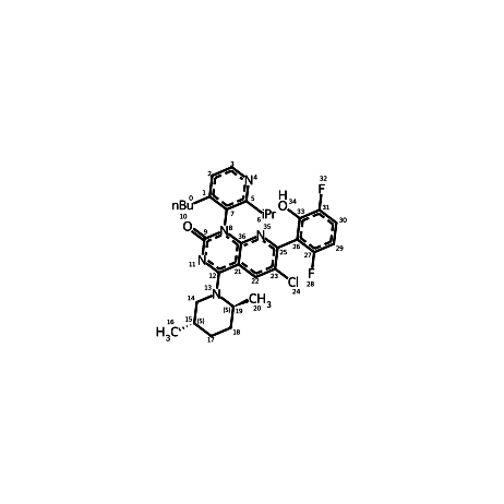 CCCCc1ccnc(C(C)C)c1-n1c(=O)nc(N2C[C@@H](C)CC[C@@H]2C)c2cc(Cl)c(-c3c(F)ccc(F)c3O)nc21